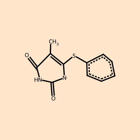 CC1=C(Sc2ccccc2)[N]C(=O)NC1=O